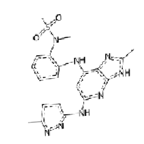 Cc1ccc(Nc2cc(Nc3ccccc3N(C)S(C)(=O)=O)c3nc(C)[nH]c3n2)nn1